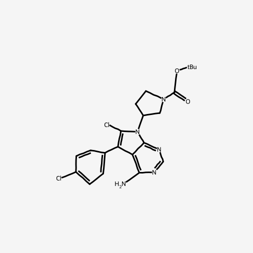 CC(C)(C)OC(=O)N1CCC(n2c(Cl)c(-c3ccc(Cl)cc3)c3c(N)ncnc32)C1